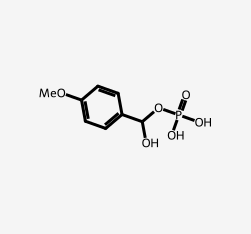 COc1ccc(C(O)OP(=O)(O)O)cc1